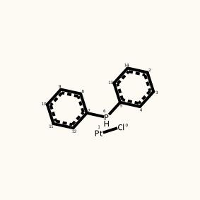 [Cl][Pt].c1ccc(Pc2ccccc2)cc1